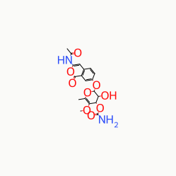 COC1=C(C)OC(Oc2ccc3cc(NC(C)=O)oc(=O)c3c2)C(O)C1OC(N)=O